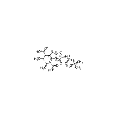 C=CC(C(=O)O)C1=C(C(C=C)C(=O)O)N2C(=O)[C@@H](NC(=O)OC(C)(C)C)CN2C1